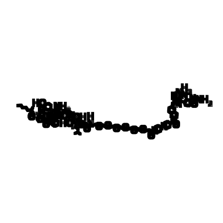 C=C/C=C/C=C(\C)[C@H](C[C@@H]1CC[C@@H](C)[C@](O)(C(=O)C(=O)N2CCCC[C@H]2C(=O)O[C@@H](C[C@@H](O)[C@H](C)/C=C(\C)[C@@H](O)[C@@H](O)/C(=N/OCC(=O)NCCOCCOCCOCCOCCOCCOCCC(=O)N2CCC(N3CCC(C(=O)N4CCc5cc(Cn6nc(-c7ccc8oc(N)nc8c7)c7c(N)ncnc76)ccc5C4)CC3)CC2)[C@H](C)CC(C)C)[C@H](N)C[C@@H]2CC[C@@H](O)[C@H](OC)C2)O1)OC